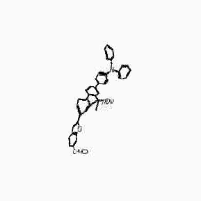 CCCCC1(C)c2cc(-c3ccc(N(c4ccccc4)c4ccccc4)cc3)ccc2-c2ccc(-c3cc4ccc(C=O)cc4o3)cc21